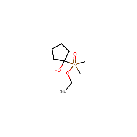 CC(C)(C)COS(C)(C)(=O)C1(O)CCCC1